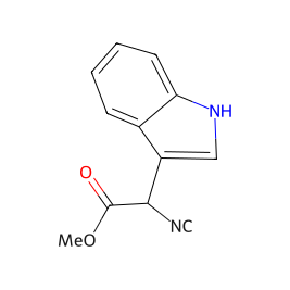 [C-]#[N+]C(C(=O)OC)c1c[nH]c2ccccc12